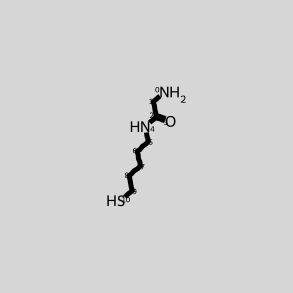 NCC(=O)NCCCCCS